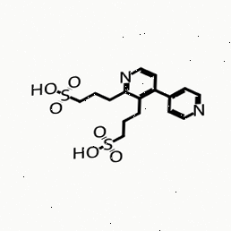 O=S(=O)(O)CCCc1nccc(-c2ccncc2)c1CCCS(=O)(=O)O